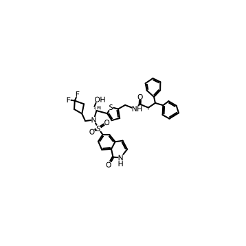 O=C([CH]C(c1ccccc1)c1ccccc1)NCc1ccc([C@@H](CO)N(CC2CC(F)(F)C2)S(=O)(=O)c2ccc3c(=O)[nH]ccc3c2)s1